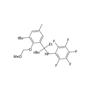 CCCCC(CC)(Pc1c(F)c(F)c(F)c(F)c1F)c1cc(C)cc(C(C)(C)C)c1OCOC